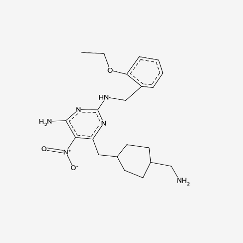 CCOc1ccccc1CNc1nc(N)c([N+](=O)[O-])c(CC2CCC(CN)CC2)n1